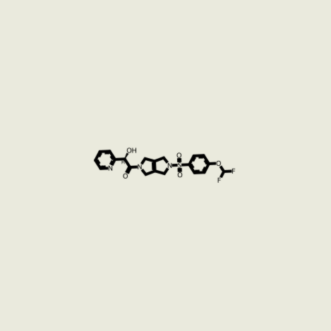 O=C([C@H](O)c1ccccn1)N1CC2=C(C1)CN(S(=O)(=O)c1ccc(OC(F)F)cc1)C2